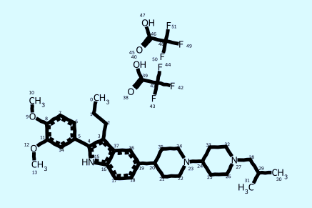 CCCc1c(-c2ccc(OC)c(OC)c2)[nH]c2ccc(C3CCN(C4CCN(CC(C)C)CC4)CC3)cc12.O=C(O)C(F)(F)F.O=C(O)C(F)(F)F